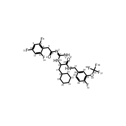 NC(=NC(=O)Cc1c(F)cc(F)cc1F)NC(CC1CCCCC1)C(=O)NCc1ccc(F)c(OC(F)(F)F)c1